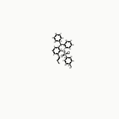 CC=Cc1cccc(C(c2ccccc2)c2ccccc2)c1OS(=O)(=O)c1ccc(C)cc1